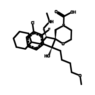 CNC[C@@H](CC1CCCCC1)[C@]1([C@@](O)(CCCCOC)c2cccc(Cl)c2F)CN(C(=O)O)CCO1